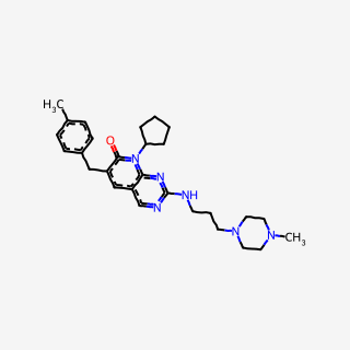 Cc1ccc(Cc2cc3cnc(NCCCN4CCN(C)CC4)nc3n(C3CCCC3)c2=O)cc1